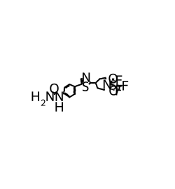 NC(=O)Nc1ccc(-c2cnc(C3CCN(S(=O)(=O)C(F)(F)F)CC3)s2)cc1